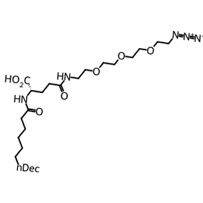 CCCCCCCCCCCCCCCC(=O)N[C@@H](CCC(=O)NCCOCCOCCOCCN=[N+]=[N-])C(=O)O